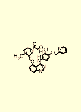 CN1CCN(C(=O)CO)C[C@H]1COc1cccc2ncnc(Nc3ccc(OCc4ccccn4)c(Cl)c3)c12